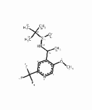 COc1cnc(C(F)(F)F)cc1C(C)N[S+]([O-])C(C)(C)C